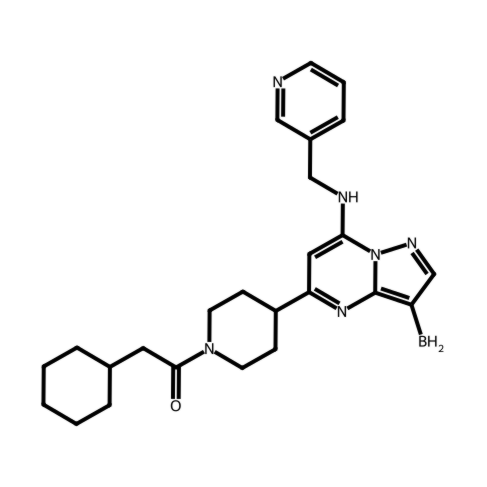 Bc1cnn2c(NCc3cccnc3)cc(C3CCN(C(=O)CC4CCCCC4)CC3)nc12